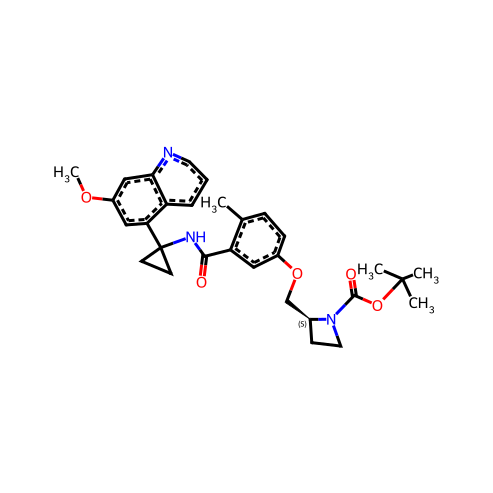 COc1cc(C2(NC(=O)c3cc(OC[C@@H]4CCN4C(=O)OC(C)(C)C)ccc3C)CC2)c2cccnc2c1